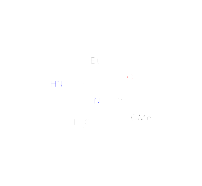 CCC(=N)N(C)C(=O)OC